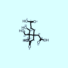 O=C(O)CCC(CC(=O)O)(CC(=O)O)C(CO)(CO)CO